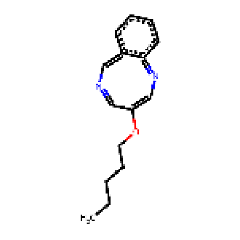 CCCCCOC1=CN=c2ccccc2=CN=C1